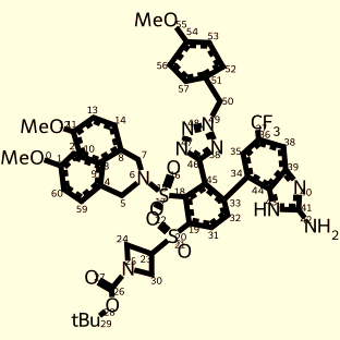 COc1ccc(CN(Cc2ccc(OC)cc2)S(=O)(=O)c2c(S(=O)(=O)C3CN(C(=O)OC(C)(C)C)C3)ccc(-c3cc(C(F)(F)F)cc4nc(N)[nH]c34)c2-c2nnn(Cc3ccc(OC)cc3)n2)cc1